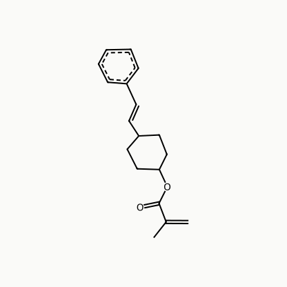 C=C(C)C(=O)OC1CCC(C=Cc2ccccc2)CC1